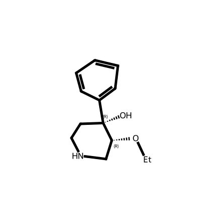 CCO[C@@H]1CNCC[C@@]1(O)c1ccccc1